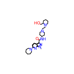 Cn1nc(C(=O)NC2CCN(CCN3CCCCC3CO)CC2)c2ccc(N3CCCCCC3)nc21